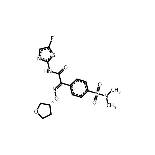 CN(C)S(=O)(=O)c1ccc(/C(=N\O[C@@H]2CCOC2)C(=O)Nc2ncc(F)s2)cc1